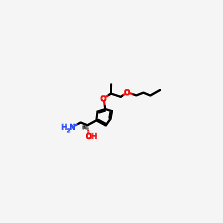 CCCCOCC(C)Oc1cccc([C@H](O)CN)c1